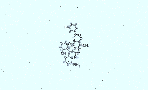 Cn1c(=O)n(CC(=O)c2cccc(F)c2)c(=O)c2c1nc(NC1CCCCC1N)n2Cc1ccccc1C#N